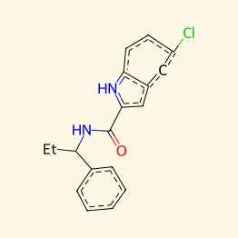 CCC(NC(=O)c1cc2cc(Cl)ccc2[nH]1)c1ccccc1